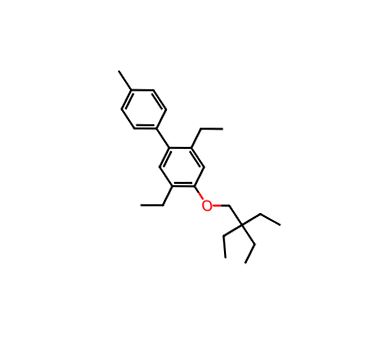 CCc1cc(-c2ccc(C)cc2)c(CC)cc1OCC(CC)(CC)CC